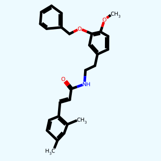 COc1ccc(CCNC(=O)/C=C/c2ccc(C)cc2C)cc1OCc1ccccc1